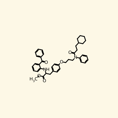 COC(=O)C(Cc1ccc(OCCCN(C(=O)CCC2CCCCC2)c2ccccc2)cc1)Nc1ccccc1C(=O)c1ccccc1